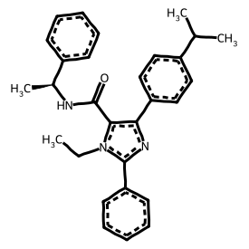 CCn1c(-c2ccccc2)nc(-c2ccc(C(C)C)cc2)c1C(=O)N[C@@H](C)c1ccccc1